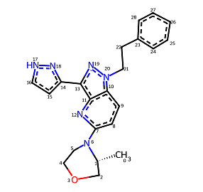 C[C@@H]1COCCN1c1ccc2c(n1)c(-c1cc[nH]n1)nn2CCc1ccccc1